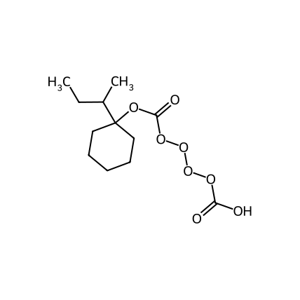 CCC(C)C1(OC(=O)OOOOC(=O)O)CCCCC1